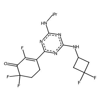 CC(C)Nc1nc(NC2CC(F)(F)C2)nc(C2=C(F)C(=O)C(F)(F)CC2)n1